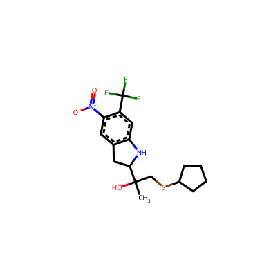 CC(O)(CSC1CCCC1)C1Cc2cc([N+](=O)[O-])c(C(F)(F)F)cc2N1